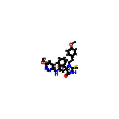 COc1ccc(CCN2C(=S)NC(=O)C2(CC(=O)Nc2ccc(OC)nn2)c2ccccc2)cc1